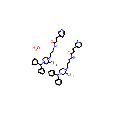 CC1CN(C(c2ccccc2)c2ccccc2)CCN1CCCCNC(=O)C=Cc1cccnc1.CC1CN(C(c2ccccc2)c2ccccc2)CCN1CCCCNC(=O)C=Cc1cccnc1.O